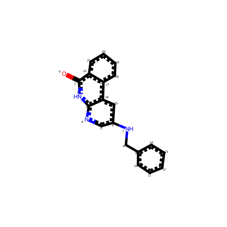 O=c1[nH]c2ncc(NCc3ccccc3)cc2c2ccccc12